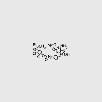 C=C(CC)C(=O)c1ccc(OCC(=O)NCc2ccc(Cn3c(O)nc4c(N)nc(OCCOC)nc43)cc2)c(Cl)c1Cl